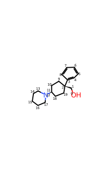 OC[C@]1(c2ccccc2)CC[C@H](N2CCCCC2)CC1